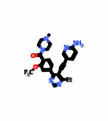 CCc1ncnc(-c2ccc(C(=O)N3CCN(C)CC3)c(OC(F)(F)F)c2)c1C#Cc1ccc(N)nc1